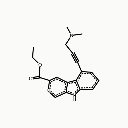 CCOC(=O)c1cc2c(cn1)[nH]c1cccc(C#CCN(C)C)c12